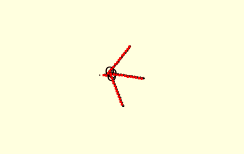 [CH2]CCc1cc(OCCCCCCCCCCCCCCCCCCCCCCC)c(OCCCCCCCCCCCCCCCCCCCCCCC)c(OCCCCCCCCCCCCCCCCCCCCCCC)c1